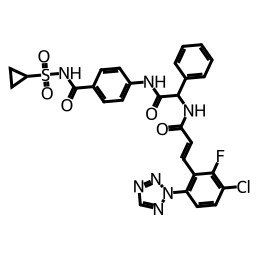 O=C(C=Cc1c(-n2ncnn2)ccc(Cl)c1F)NC(C(=O)Nc1ccc(C(=O)NS(=O)(=O)C2CC2)cc1)c1ccccc1